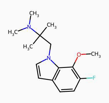 COc1c(F)ccc2ccn(CC(C)(C)N(C)C)c12